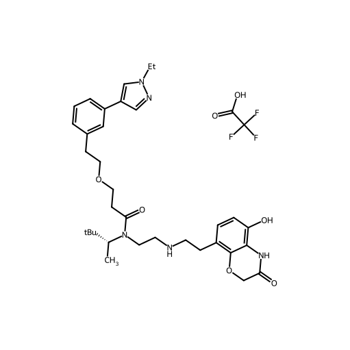 CCn1cc(-c2cccc(CCOCCC(=O)N(CCNCCc3ccc(O)c4c3OCC(=O)N4)[C@H](C)C(C)(C)C)c2)cn1.O=C(O)C(F)(F)F